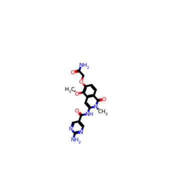 COc1c(OCC(N)=O)ccc2c(=O)n(C)c(NC(=O)c3cnc(N)nc3)cc12